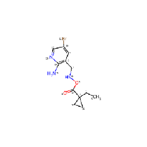 CCC1(C(=O)ONCc2cc(Br)cnc2N)CC1